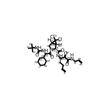 C=CCC[C@@H](NC(=O)[C@@H]1[C@@H]2[C@H](CN1C(=O)[C@@H](NC(=O)NC(C)(C)C)C1CCCCC1)C2(Cl)Cl)C(=O)C(=O)NCC=C